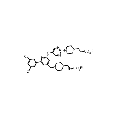 CCOC(=O)NCC1CCN(Cc2cc(Oc3cnc(N4CCN(CCC(=O)O)CC4)nc3)nc(-c3cc(Cl)cc(Cl)c3)c2)CC1